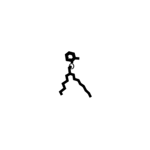 CCCCCCCCC(CCCCCC)COc1ccccc1C